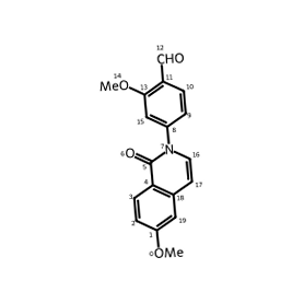 COc1ccc2c(=O)n(-c3ccc(C=O)c(OC)c3)ccc2c1